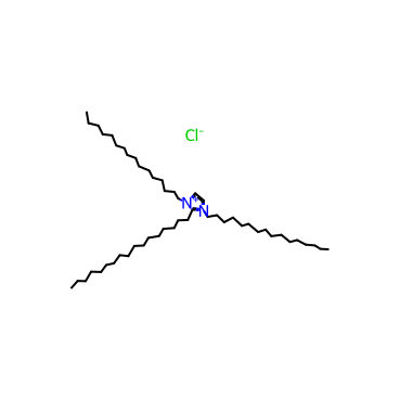 CCCCCCCCCCCCCCCCCc1n(CCCCCCCCCCCCCCCC)cc[n+]1CCCCCCCCCCCCCCCC.[Cl-]